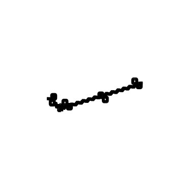 COC(=O)CCCCCCCCCCC(=O)OCCCCCCCCCCOC(=O)C[N+](C)(C)CCOC(C)=O